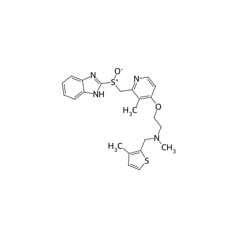 Cc1ccsc1CN(C)CCOc1ccnc(C[S+]([O-])c2nc3ccccc3[nH]2)c1C